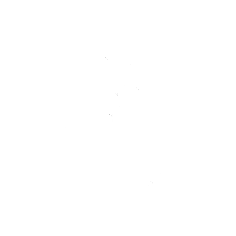 NC(=O)c1ccc(-c2ccc3nc(-c4cccnc4)nc(Nc4ccc(F)c(Cl)c4)c3c2)cc1